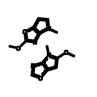 COc1cc2ocnc2n1C.COc1nc2c(ccn2C)o1